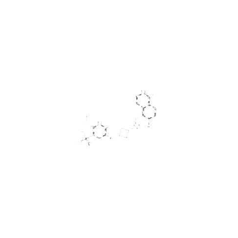 COc1ncc(O[C@H]2C[C@H](NCc3c(F)ccc4cnccc34)C2)cc1C(F)(F)F